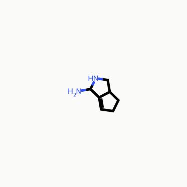 NC1NCC2CCC=C21